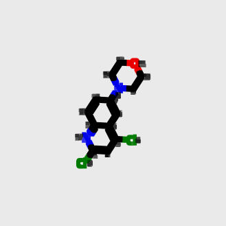 Clc1cc(Cl)c2cc(N3CCOCC3)ccc2n1